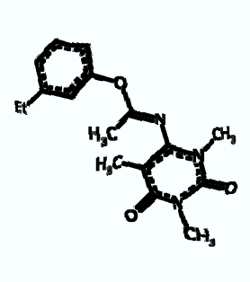 CCc1cccc(O/C(C)=N/c2c(C)c(=O)n(C)c(=O)n2C)c1